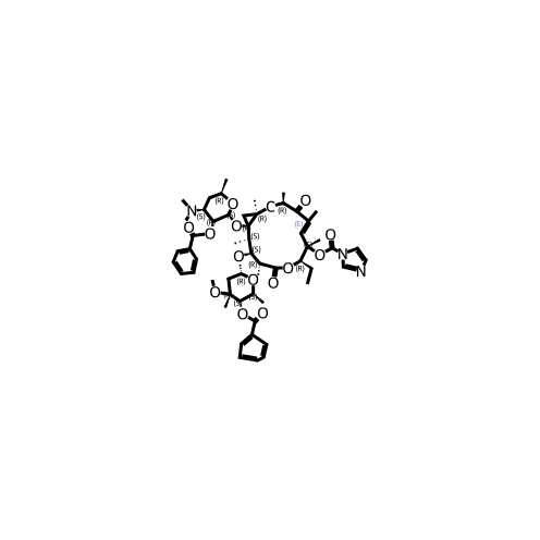 CC[C@H]1OC(=O)[C@H](C)[C@@H](O[C@H]2C[C@@](C)(OC)[C@@H](OC(=O)c3ccccc3)[C@H](C)O2)[C@H](C)[C@]2(O[C@@H]3O[C@H](C)C[C@H](N(C)C)[C@H]3OC(=O)c3ccccc3)C[C@@]2(C)C[C@@H](C)C(=O)/C(C)=C/[C@]1(C)OC(=O)n1ccnc1